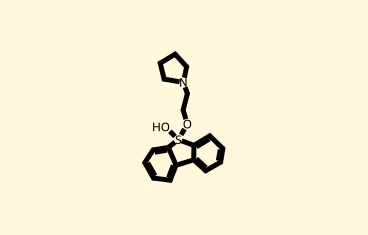 OS1(OCCN2CCCC2)c2ccccc2-c2ccccc21